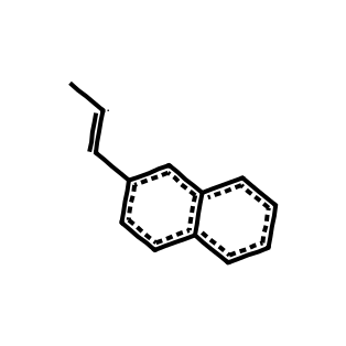 C[C]=Cc1ccc2ccccc2c1